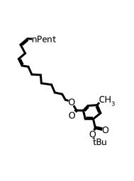 CCCCC/C=C\C/C=C\CCCCCCCCOC(=O)c1cc(C)cc(C(=O)OC(C)(C)C)c1